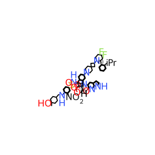 CC(C)c1ccccc1[C@@H]1CC(F)(F)CCN1C1CC2(CCN(c3ccc(C(=O)NS(=O)(=O)c4ccc(NCC5CCC(C)(O)CC5)c([N+](=O)[O-])c4)c(N4c5cc6cc[nH]c6nc5O[C@H]5COCC[C@@H]54)c3)CC2)C1